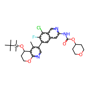 Cc1c(-c2cc3cc(NC(=O)OC4CCOCC4)ncc3c(Cl)c2F)cnc2c1C(O[Si](C)(C)C(C)(C)C)CCO2